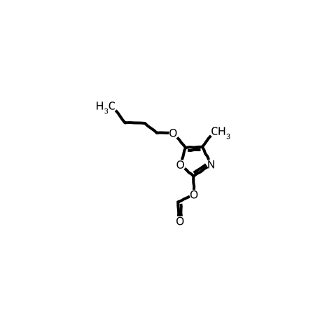 CCCCOc1oc(OC=O)nc1C